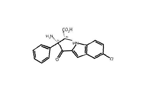 C[C@@H](C(=O)O)[C@@](N)(C(=O)c1cc2cc(Cl)ccc2[nH]1)c1ccccc1